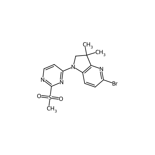 CC1(C)CN(c2ccnc(S(C)(=O)=O)n2)c2ccc(Br)nc21